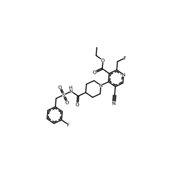 CCOC(=O)c1c(CF)ncc(C#N)c1N1CCC(C(=O)NS(=O)(=O)Cc2cccc(F)c2)CC1